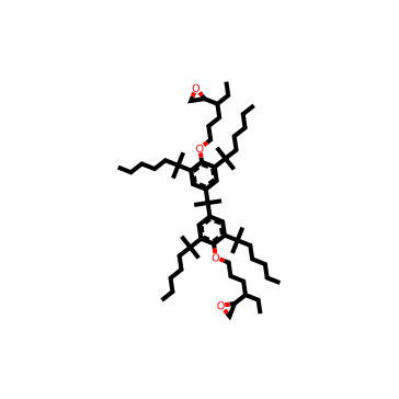 CCCCCC(C)(C)c1cc(C(C)(C)c2cc(C(C)(C)CCCCC)c(OCCCC(CC)C3CO3)c(C(C)(C)CCCCC)c2)cc(C(C)(C)CCCCC)c1OCCCC(CC)C1CO1